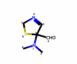 CN(C)C1(C=O)C=NCS1